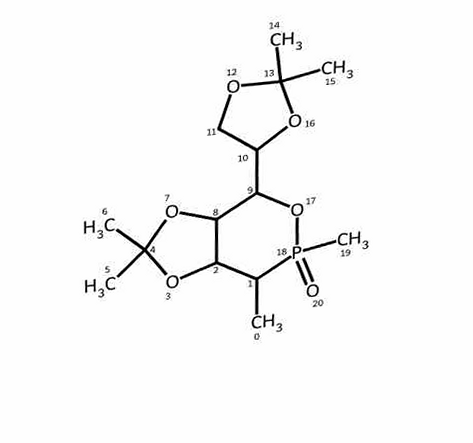 CC1C2OC(C)(C)OC2C(C2COC(C)(C)O2)OP1(C)=O